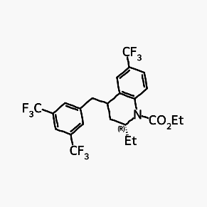 CCOC(=O)N1c2ccc(C(F)(F)F)cc2C(Cc2cc(C(F)(F)F)cc(C(F)(F)F)c2)C[C@H]1CC